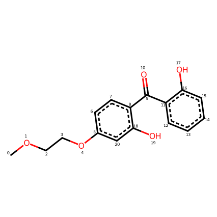 COCCOc1ccc(C(=O)c2ccccc2O)c(O)c1